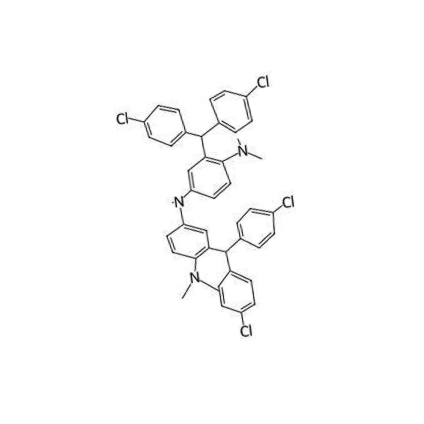 CN(C)c1ccc([N]c2ccc(N(C)C)c(C(c3ccc(Cl)cc3)c3ccc(Cl)cc3)c2)cc1C(c1ccc(Cl)cc1)c1ccc(Cl)cc1